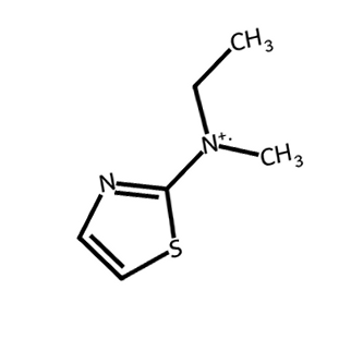 CC[N+](C)c1nccs1